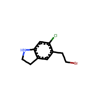 Clc1cc2c(cc1CCBr)CCN2